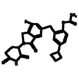 NC(=O)Oc1ccc(C2CCC2)cc1Cc1cc(F)c2c(c1)C(=O)N(C1CCC(=O)NC1=O)C2